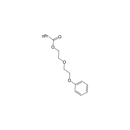 CCCC(=O)OCCOCCOc1ccccc1